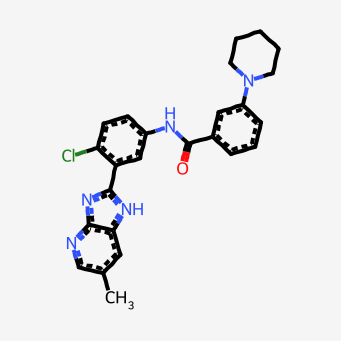 Cc1cnc2nc(-c3cc(NC(=O)c4cccc(N5CCCCC5)c4)ccc3Cl)[nH]c2c1